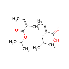 C/C=C(\CC(C)C)C(=O)O.CC=C(C)C(=O)OC(C)C